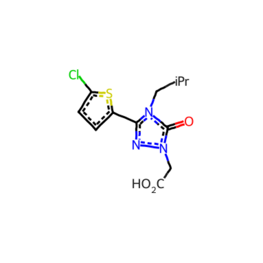 CC(C)Cn1c(-c2ccc(Cl)s2)nn(CC(=O)O)c1=O